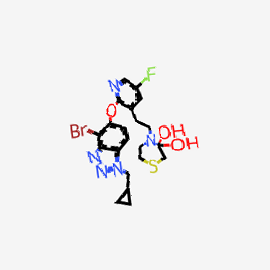 OC1(O)CSCCN1CCc1cc(F)cnc1Oc1ccc2c(nnn2CC2CC2)c1Br